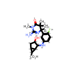 CN1C(=O)C(C)(C)C(C)(c2cc(NC3C(O)CC4C(C(=O)O)C43)ccc2F)N=C1N